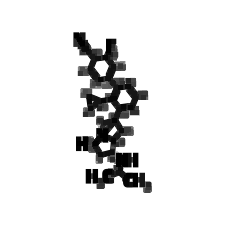 CC(C)N[C@@H]1C[C@H]2N3CC2(c2cccc(C4=CC(F)C(C#N)C=C4)c2C2CC2)CC13